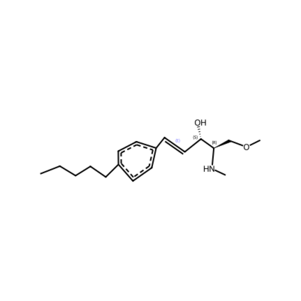 CCCCCc1ccc(/C=C/[C@H](O)[C@@H](COC)NC)cc1